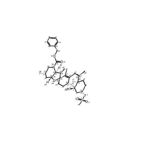 CCC[C@@H]1C[C@@H](OS(C)(=O)=O)CC[C@]1(C)[C@H](C)CC1=C(C)[C@]2(CC[C@H]1C)O[C@@H]1C[C@H](C)CN(C(=O)OCc3ccccc3)[C@H]1[C@H]2C